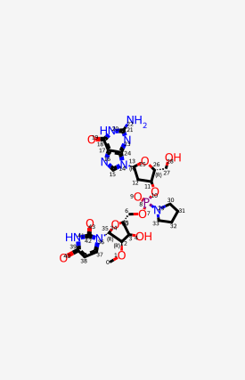 CO[C@@H]1C(O)[C@@H](COP(=O)(OC2C[C@H](n3cnc4c(=O)[nH]c(N)nc43)O[C@@H]2CO)N2CCCC2)O[C@H]1n1ccc(=O)[nH]c1=O